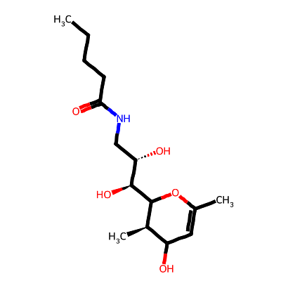 CCCCC(=O)NC[C@H](O)[C@H](O)C1OC(C)=CC(O)[C@H]1C